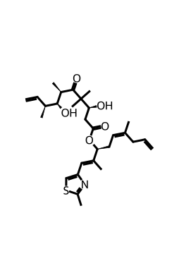 C=CC/C(C)=C\C[C@H](OC(=O)C[C@H](O)C(C)(C)C(=O)[C@H](C)[C@@H](O)[C@@H](C)C=C)/C(C)=C/c1csc(C)n1